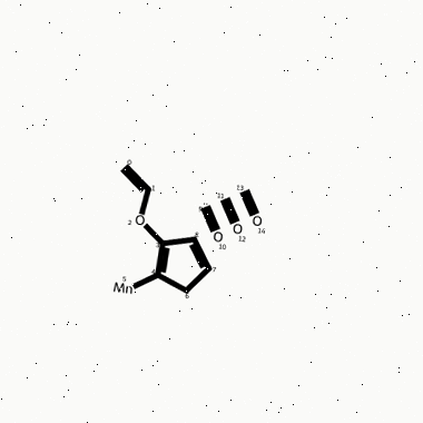 C=COC1=[C]([Mn])CC=C1.[C]=O.[C]=O.[C]=O